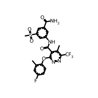 Cc1cc(F)ccc1Oc1nnc(C(F)(F)F)c(C)c1C(=O)Nc1cc(C(N)=O)cc(S(C)(=O)=O)c1